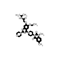 CCOc1cc2c(N3CCC(n4c(=O)c5cc(C)ccc5n(C)c4=O)CC3)nc(N3CCOCC3)nc2cc1OCC(=O)NC(C)C